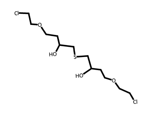 OC(CCOCCCl)CSCC(O)CCOCCCl